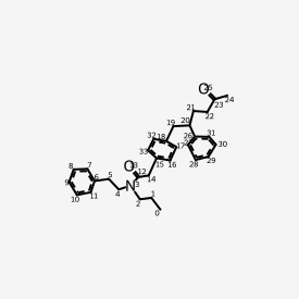 CCCN(CCc1ccccc1)C(=O)Cc1ccc(CC(CCC(C)=O)c2ccccc2)cc1